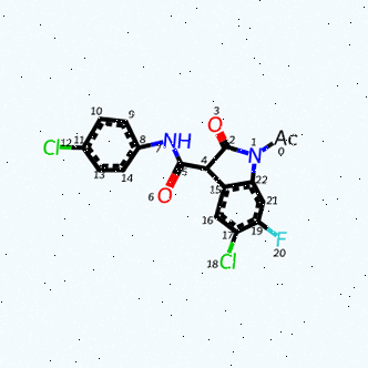 CC(=O)N1C(=O)C(C(=O)Nc2ccc(Cl)cc2)c2cc(Cl)c(F)cc21